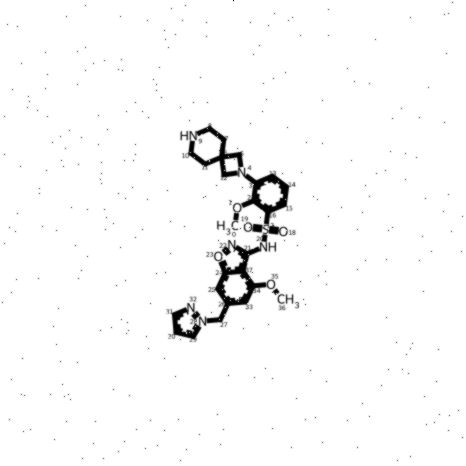 COc1c(N2CC3(CCNCC3)C2)cccc1S(=O)(=O)Nc1noc2cc(Cn3cccn3)cc(OC)c12